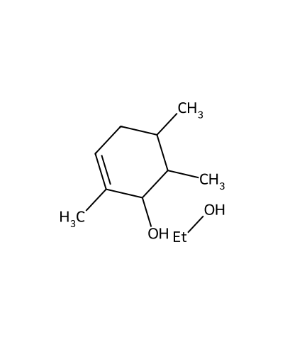 CC1=CCC(C)C(C)C1O.CCO